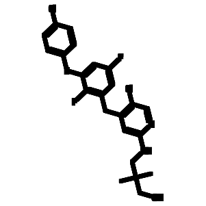 CC(C)(CO)CNc1cc(Cc2cc(F)cc(Sc3ccc(Cl)cc3)c2F)c(Cl)cn1